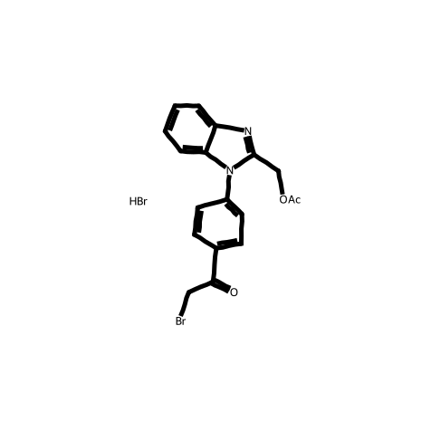 Br.CC(=O)OCc1nc2ccccc2n1-c1ccc(C(=O)CBr)cc1